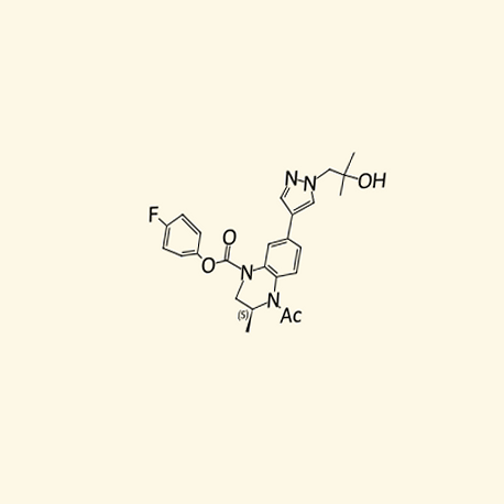 CC(=O)N1c2ccc(-c3cnn(CC(C)(C)O)c3)cc2N(C(=O)Oc2ccc(F)cc2)C[C@@H]1C